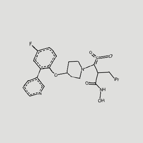 CC(C)CC(C(=O)NO)C(N1CCC(Oc2ccc(F)cc2-c2cccnc2)CC1)=S(=O)=O